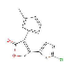 Cc1cccc(C2=C(c3ccc(Cl)s3)COC2=O)c1